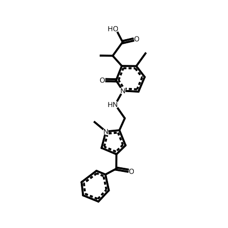 Cc1ccn(NCc2cc(C(=O)c3ccccc3)cn2C)c(=O)c1C(C)C(=O)O